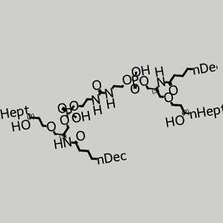 CCCCCCCCCCCCCC(=O)N[C@@H](COCC[C@H](O)CCCCCCC)COP(=O)(O)OCCNC(=O)NCCOP(=O)(O)OC[C@H](COCC[C@H](O)CCCCCCC)NC(=O)CCCCCCCCCCCCC